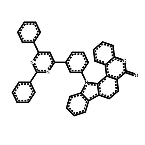 O=c1oc2ccccc2c2c1ccc1c3ccccc3n(-c3cccc(-c4cc(-c5ccccc5)nc(-c5ccccc5)n4)c3)c12